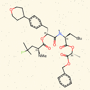 CN[C@@H](CC(C)(C)F)C(=O)O[C@H](Cc1ccc(C2CCOCC2)cc1)C(=O)N(C)[C@@H](CC(C)(C)C)C(=O)O[C@H](C)C(=O)OCc1ccccc1